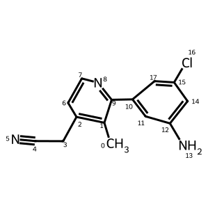 Cc1c(CC#N)ccnc1-c1cc(N)cc(Cl)c1